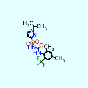 Cc1cc(C)c(NC(=O)NS(=O)(=O)c2ccn(C(C)C)n2)c(C(F)(F)F)c1